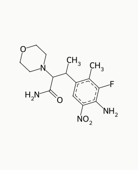 Cc1c(C(C)C(C(N)=O)N2CCOCC2)cc([N+](=O)[O-])c(N)c1F